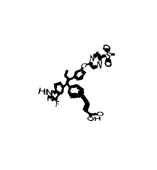 CC/C(=C(/c1ccc(/C=C/C(=O)O)cc1)c1ccc2[nH]nc(F)c2c1)c1cccc(Oc2cnc(S(C)(=O)=O)cn2)c1